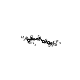 COc1cc(C(=O)Oc2ccc(C=CC(=O)OCCCOC(=O)c3cc(N)cc(N)c3)cc2)ccc1OCCC(F)(F)F